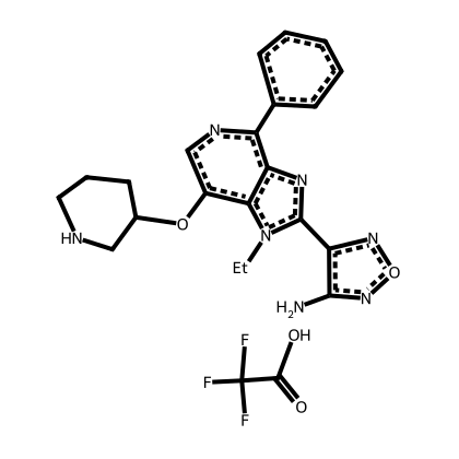 CCn1c(-c2nonc2N)nc2c(-c3ccccc3)ncc(OC3CCCNC3)c21.O=C(O)C(F)(F)F